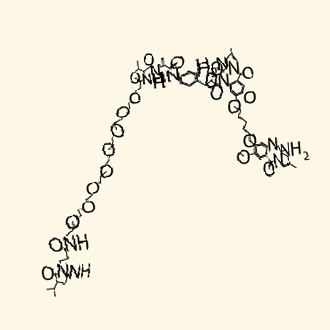 COc1cc2c(cc1OCCCCCOc1cc3c(cc1OC)C(=O)N1C=C(C)C[C@@]1(N)[C@H](O)N3C(=O)OCc1ccc(NC(=O)[C@H](C)NC(=O)[C@@H](NC(=O)CCOCCOCCOCCOCCOCCOCCOCCOCCNC(=O)CCN3C(=N)CC(C(C)C)C3=O)C(C)C)cc1)N=C[C@]1(N)CC(C)=CN1C2=O